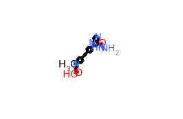 CN(CCC(=O)O)c1ccc(C#Cc2ccc(-c3cc(C(=O)NN)c4cnccc4n3)cc2)cc1